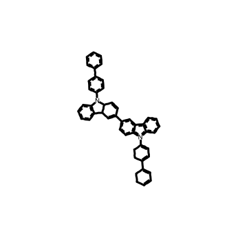 C1=CCCC(C2=CC=C(n3c4ccccc4c4cc(C5=CC6c7ccccc7N(c7ccc(-c8ccccc8)cc7)C6C=C5)ccc43)CC2)=C1